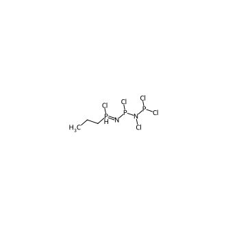 CCC[PH](Cl)=NP(Cl)N(Cl)P(Cl)Cl